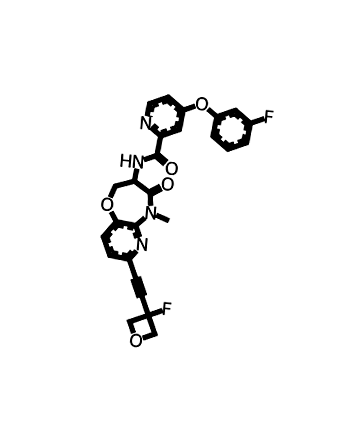 CN1C(=O)C(NC(=O)c2cc(Oc3cccc(F)c3)ccn2)COc2ccc(C#CC3(F)COC3)nc21